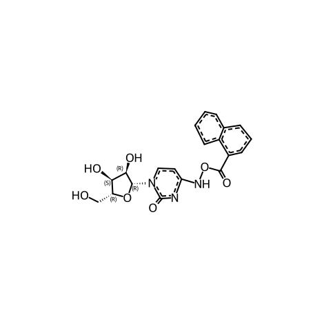 O=C(ONc1ccn([C@@H]2O[C@H](CO)[C@@H](O)[C@H]2O)c(=O)n1)c1cccc2ccccc12